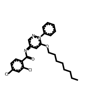 CCCCCCCCOc1c/c(=N\C(=O)c2ccc(Cl)cc2Cl)cnn1-c1ccccc1